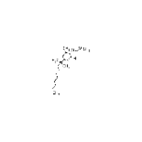 CCCCCCCC[Si](C)(C)c1cc(C)c(OCOC)c(I)c1